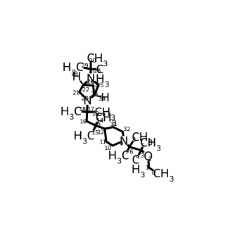 CCOC(C)(C)C(C)(C)N1CCC(C(C)(C)CC(C)(C)N2C[C@H]3C[C@@H]2CN3C(C)(C)C)CC1